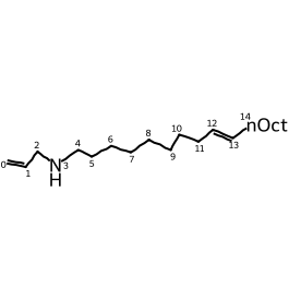 C=CCNCCCCCCCCC=CCCCCCCCC